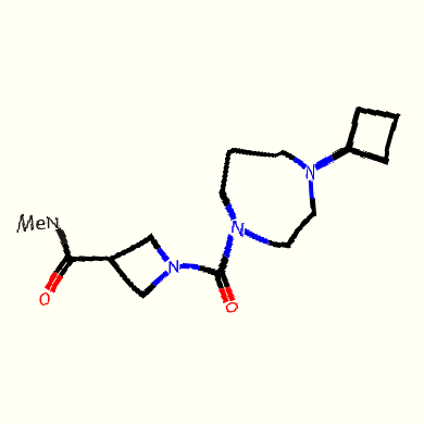 CNC(=O)C1CN(C(=O)N2CCCN(C3CCC3)CC2)C1